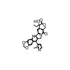 CC[C@@]1(O)C(=O)OCc2c1cc1n(c2=O)Cc2c-1nc1cc3c(cc1c2-c1ccnn1C)OCO3